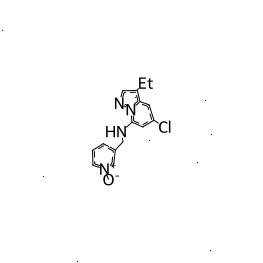 CCc1cnn2c(NCc3ccc[n+]([O-])c3)cc(Cl)cc12